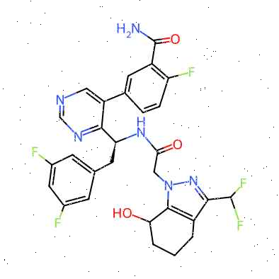 NC(=O)c1cc(-c2cncnc2[C@H](Cc2cc(F)cc(F)c2)NC(=O)Cn2nc(C(F)F)c3c2C(O)CCC3)ccc1F